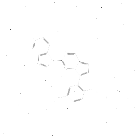 COc1ccc(Cl)cc1-c1ccc2cnc(-n3cnc4cnccc43)nn12